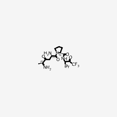 CC(C)C(NC(=O)[C@@H]1CCCN1C(=O)[C@@H](N)CC(=O)[C@H](C)N)C(=O)C(F)(F)F